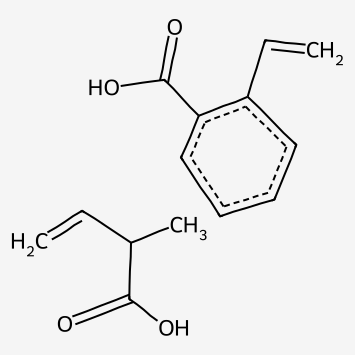 C=CC(C)C(=O)O.C=Cc1ccccc1C(=O)O